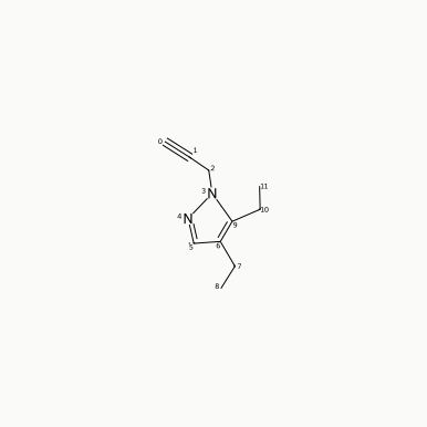 C#CCn1n[c]c(CC)c1CC